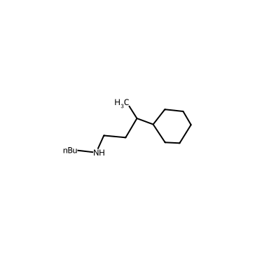 CCCCNCCC(C)C1CCCCC1